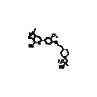 Cn1nnc2c(C#N)nc(-c3ccc(OCCC4CCN(CC(C)(O)C(F)(F)F)CC4)c(C(F)(F)F)c3)cc21